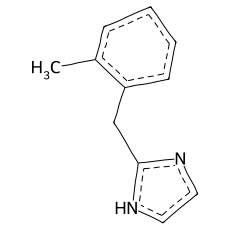 Cc1ccccc1Cc1ncc[nH]1